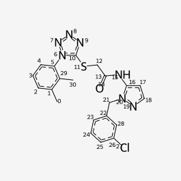 Cc1cccc(-n2nnnc2SCC(=O)Nc2ccnn2Cc2cccc(Cl)c2)c1C